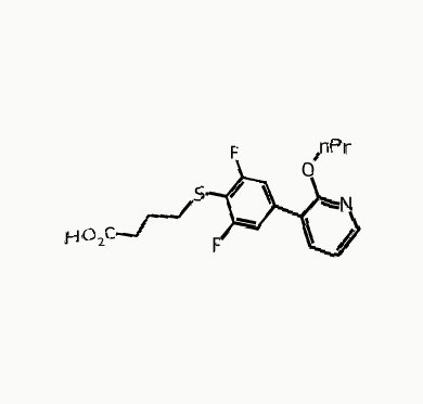 CCCOc1ncccc1-c1cc(F)c(SCCCC(=O)O)c(F)c1